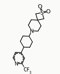 O=S1(=O)CC2(CCN(C3CCC(c4ccnc(C(F)(F)F)c4)CC3)CC2)C1